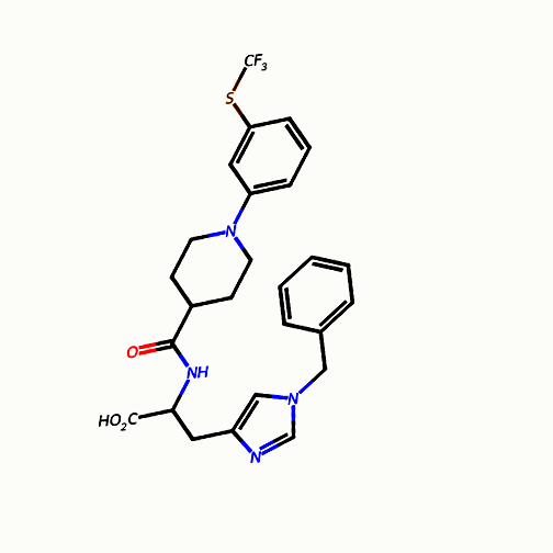 O=C(NC(Cc1cn(Cc2ccccc2)cn1)C(=O)O)C1CCN(c2cccc(SC(F)(F)F)c2)CC1